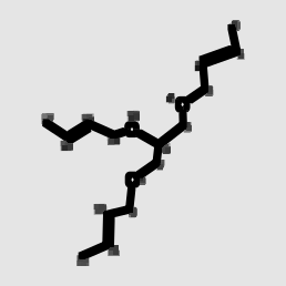 CC=CCOCC(COCC=CC)OCC=CC